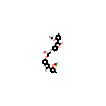 Cc1ccc(-c2cc3cc(OCC(O)COc4ccc5oc(=O)c(-c6ccc(C)cc6OC(F)(F)F)cc5c4)ccc3oc2=O)c(OC(F)(F)F)c1